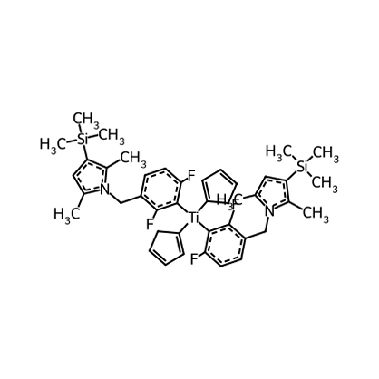 Cc1cc([Si](C)(C)C)c(C)n1Cc1ccc(F)[c]([Ti]([C]2=CC=CC2)([C]2=CC=CC2)[c]2c(F)ccc(Cn3c(C)cc([Si](C)(C)C)c3C)c2F)c1F